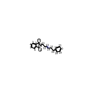 O=C1c2ccccc2C(=O)N1CC/C=C/CCc1ccccc1